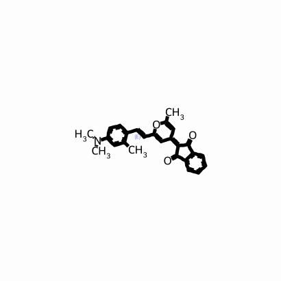 CC1=CC(=C2C(=O)c3ccccc3C2=O)C=C(/C=C/c2ccc(N(C)C)cc2C)O1